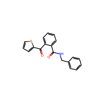 O=C(NCc1ccccc1)c1ccccc1C(=O)c1cccs1